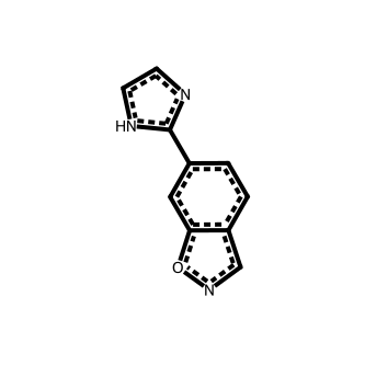 c1c[nH]c(-c2ccc3cnoc3c2)n1